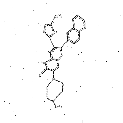 Cc1ccc(-c2nc3[nH]c(=O)c(N4CCN(C)CC4)cc3nc2-c2ccc3ncccc3c2)o1